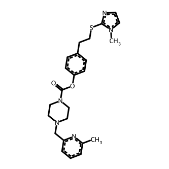 Cc1cccc(CN2CCN(C(=O)Oc3ccc(CCSc4nccn4C)cc3)CC2)n1